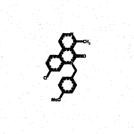 COc1ccc(Cn2c(=O)c3c(C)nccc3c3ccc(Cl)cc32)cc1